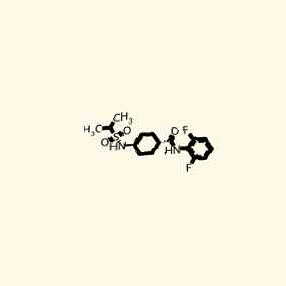 CC(C)S(=O)(=O)N[C@H]1CC[C@H](C(=O)Nc2c(F)cccc2F)CC1